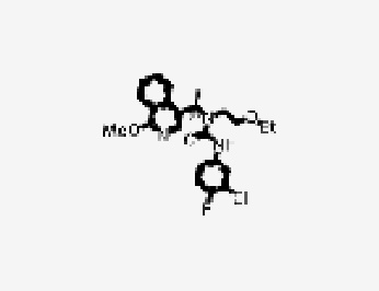 CCOCCN(C(=O)Nc1ccc(F)c(Cl)c1)[C@H](C)c1cnc(OC)c2ccccc12